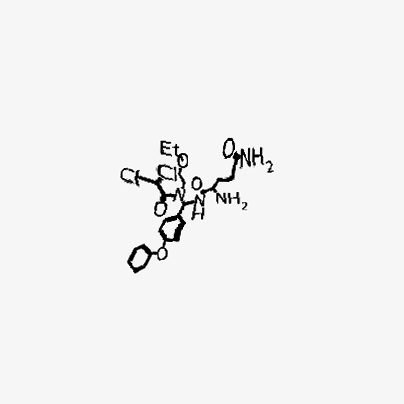 CCOCCN(C(=O)C(Cl)Cl)C(NC(=O)C(N)CCC(N)=O)c1ccc(Oc2ccccc2)cc1